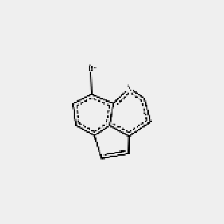 Brc1ccc2c3c(ccnc13)C=C2